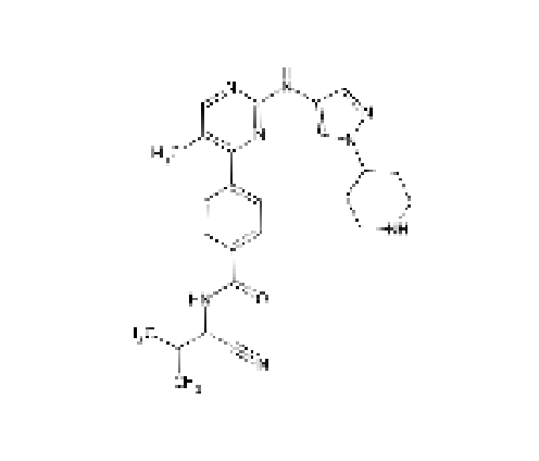 Cc1cnc(Nc2cnn(C3CCNCC3)c2)nc1-c1ccc(C(=O)N[C@H](C#N)C(C)C)cc1